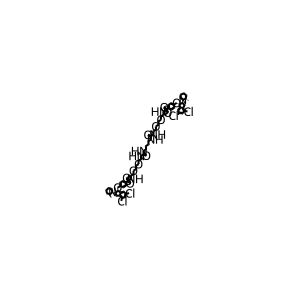 C[C@H]1CCCCN1[C@H]1Cc2c(Cl)cc(Cl)cc2[C@@H]1Oc1ccc(S(=O)(=O)NCCOCCOCCNC(=O)NCCCCNC(=O)NCCOCCOCCNS(=O)(=O)c2ccc(O[C@H]3c4cc(Cl)cc(Cl)c4C[C@@H]3N3CCCC[C@@H]3C)cc2)cc1